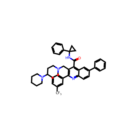 O=C(NC1(c2ccccc2)CC1)c1c(CN2CCC(N3CCCCC3)CC2)c(-c2cccc(C(F)(F)F)c2)nc2ccc(-c3ccccc3)cc12